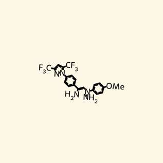 COc1ccc(N(N)/C=C(\N)c2ccc(-n3nc(C(F)(F)F)cc3C(F)(F)F)cc2)cc1